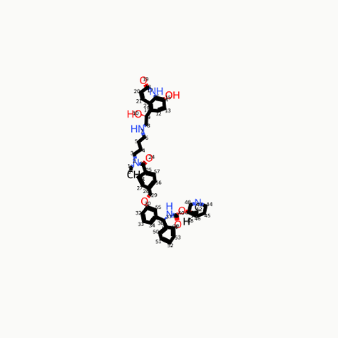 CCN(CCCCNC[C@H](O)c1ccc(O)c2[nH]c(=O)ccc12)C(=O)c1ccc(COc2cccc([C@@H](NC(=O)O[C@H]3CN4CCC3CC4)c3ccccc3)c2)cc1